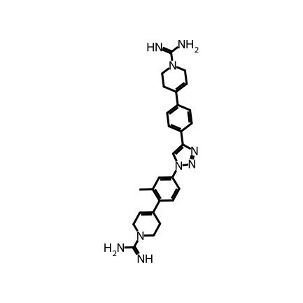 Cc1cc(-n2cc(-c3ccc(C4=CCN(C(=N)N)CC4)cc3)nn2)ccc1C1=CCN(C(=N)N)CC1